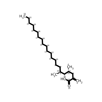 C=C(C[C@@H](C)C[C@@H](C)CCCCCCCCCCCCCCCC)C(=O)O